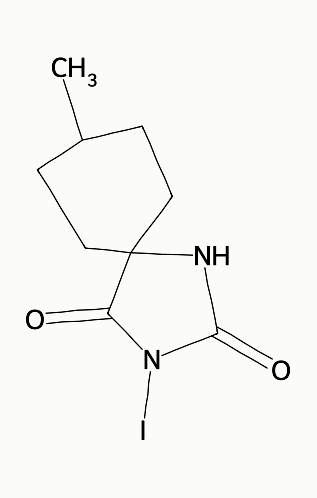 CC1CCC2(CC1)NC(=O)N(I)C2=O